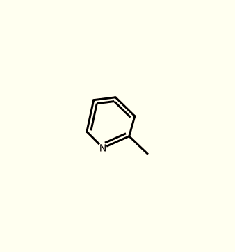 CC1=NC=C=C=C1